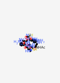 CC(=O)N[C@@H](CCCNC(=N)N)C(=O)N[C@@H](CS)C(=O)N[C@@H](C)C(=O)N[C@H](Cc1cnc[nH]1)C(=O)N[C@H](Cc1ccccc1)C(=O)N[C@@H](CCCNC(=N)N)C(=O)N[C@@H](Cc1c[nH]c2ccccc12)C(=O)N[C@@H](CS)C(N)=O